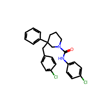 O=C(Nc1ccc(Cl)cc1)N1CCCC(Cc2ccc(Cl)cc2)(c2ccccc2)C1